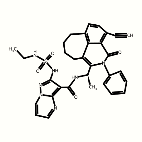 C#Cc1ccc2c3c(c([C@@H](C)NC(=O)c4c(NS(=O)(=O)NCC)nn5cccnc45)n(-c4ccccc4)c(=O)c13)CCCC2